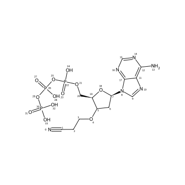 N#CCCOC1C[C@H](n2cnc3c(N)ncnc32)O[C@@H]1COP(=O)(O)OP(=O)(O)OP(=O)(O)O